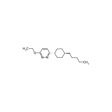 CCCCC[C@H]1CC[C@H](c2ccc(OCC)nn2)CC1